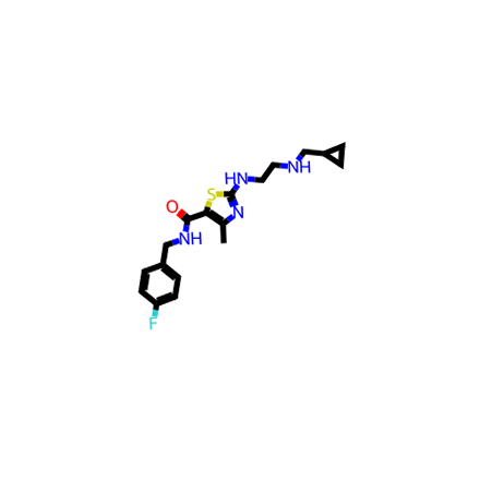 Cc1nc(NCCNCC2CC2)sc1C(=O)NCc1ccc(F)cc1